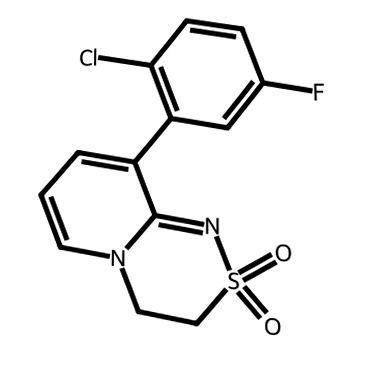 O=S1(=O)CCN2C=CC=C(c3cc(F)ccc3Cl)C2=N1